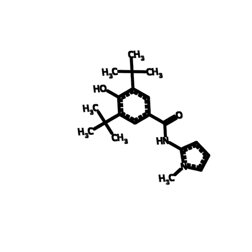 Cn1cccc1NC(=O)c1cc(C(C)(C)C)c(O)c(C(C)(C)C)c1